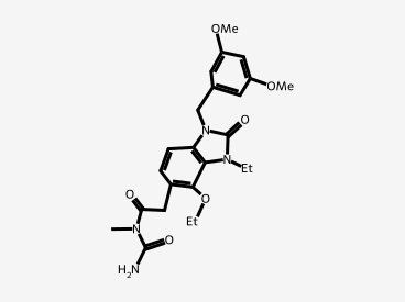 CCOc1c(CC(=O)N(C)C(N)=O)ccc2c1n(CC)c(=O)n2Cc1cc(OC)cc(OC)c1